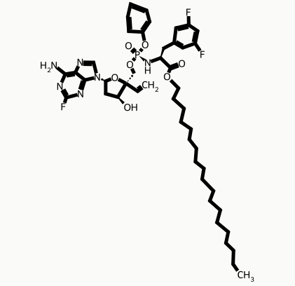 C=C[C@]1(CO[P@@](=O)(N[C@@H](Cc2cc(F)cc(F)c2)C(=O)OCCCCCCCCCCCCCCCCCCC)Oc2ccccc2)O[C@@H](n2cnc3c(N)nc(F)nc32)C[C@@H]1O